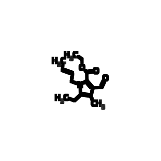 CC=CCn1c(CC)c(C)c(C=O)c1C(=O)OCC